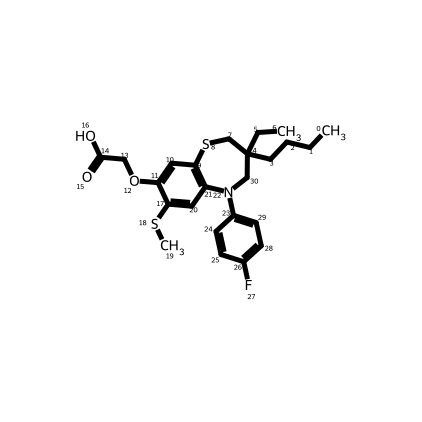 CCCCC1(CC)CSc2cc(OCC(=O)O)c(SC)cc2N(c2ccc(F)cc2)C1